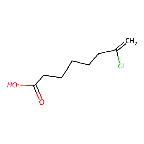 C=C(Cl)CCCCCC(=O)O